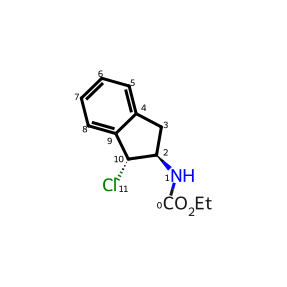 CCOC(=O)N[C@@H]1Cc2ccccc2[C@H]1Cl